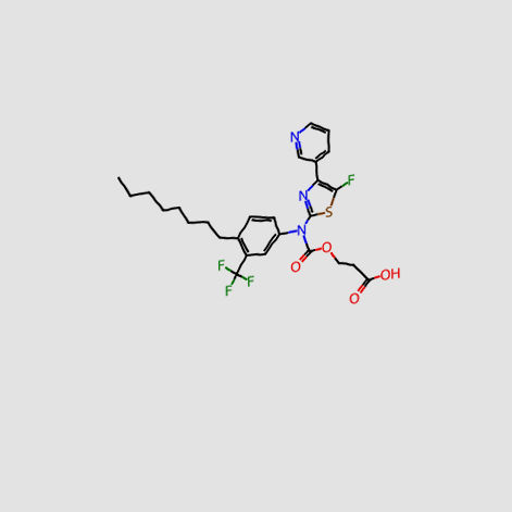 CCCCCCCCc1ccc(N(C(=O)OCCC(=O)O)c2nc(-c3cccnc3)c(F)s2)cc1C(F)(F)F